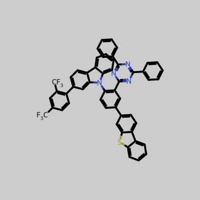 FC(F)(F)c1ccc(-c2ccc3c4ccccc4n(-c4ccc(-c5ccc6c(c5)sc5ccccc56)cc4-c4nc(-c5ccccc5)nc(-c5ccccc5)n4)c3c2)c(C(F)(F)F)c1